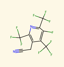 N#CCc1c(C(F)(F)F)nc(C(F)(F)F)c(F)c1C(F)(F)F